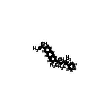 CN(C)c1ccc2cc3cc(C(C)(C)CCC(C)(C)c4ccncn4)ccc3cc2c1